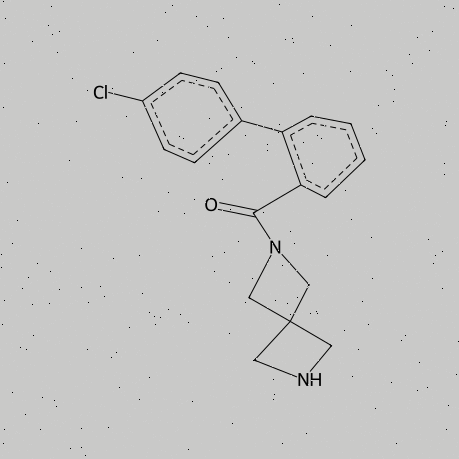 O=C(c1ccccc1-c1ccc(Cl)cc1)N1CC2(CNC2)C1